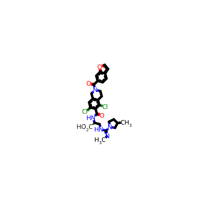 C/N=C(\NC[C@H](NC(=O)c1c(Cl)cc2c(c1Cl)CCN(C(=O)c1ccc3ccoc3c1)C2)C(=O)O)N1CCC(C)C1